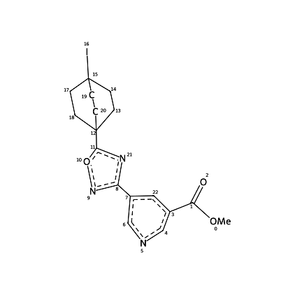 COC(=O)c1cncc(-c2noc(C34CCC(I)(CC3)CC4)n2)c1